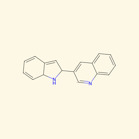 [c]1nc2ccccc2cc1C1C=C2C=CC=CC2N1